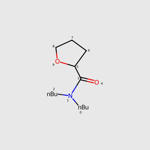 CCCCN(CCCC)C(=O)C1CCCO1